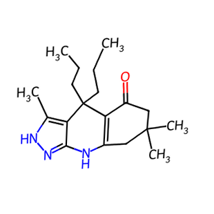 CCCC1(CCC)C2=C(CC(C)(C)CC2=O)Nc2n[nH]c(C)c21